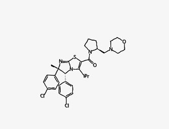 CC(C)C1=C(C(=O)N2CCC[C@H]2CN2CCOCC2)SC2=N[C@@](C)(c3ccc(Cl)cc3)[C@@H](c3ccc(Cl)cc3)N21